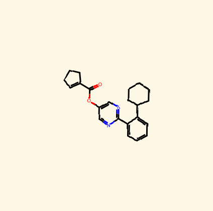 O=C(Oc1cnc(-c2ccccc2C2CCCCC2)nc1)C1=CCCC1